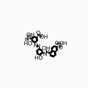 O=[N+](O)c1cc(/N=N/c2ccc(O)c(/N=N/c3cccc4cc(S(=O)(=O)O)ccc34)c2O)c(O)c([N+](=O)O)c1